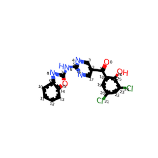 O=C(c1cnc(Nc2nc3ccccc3o2)nc1)c1cc(Cl)cc(Cl)c1O